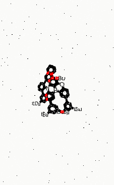 CC(C)(C)c1cccc(-c2cccc(-c3cccc(C(C)(C)C)c3)c2N2c3ccc(-c4cc(C(C)(C)C)cc(C(C)(C)C)c4)cc3B3c4cc(-c5cc(C(C)(C)C)cc(C(C)(C)C)c5)ccc4Oc4cc(-c5ccccc5)cc2c43)c1